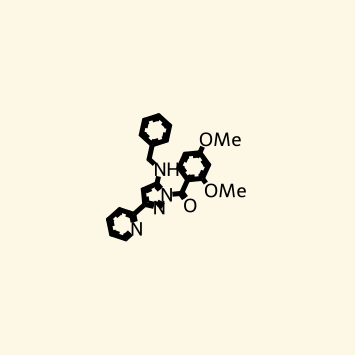 COc1ccc(C(=O)n2nc(-c3ccccn3)cc2NCc2ccccc2)c(OC)c1